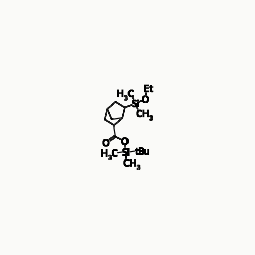 CCO[Si](C)(C)C1CC2CC(C(=O)O[Si](C)(C)C(C)(C)C)C1C2